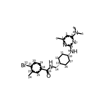 Cc1cc(N(C)C)nc(N[C@H]2CC[C@@H](CNC(=O)c3ccc(Br)c(C)c3)CC2)n1